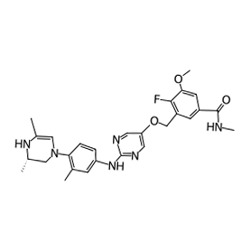 CNC(=O)c1cc(COc2cnc(Nc3ccc(N4C=C(C)N[C@@H](C)C4)c(C)c3)nc2)c(F)c(OC)c1